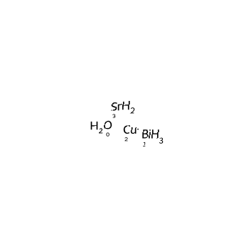 O.[BiH3].[Cu].[SrH2]